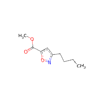 CCCCc1cc(C(=O)OC)on1